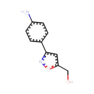 Nc1ccc(-c2cc(CO)on2)cc1